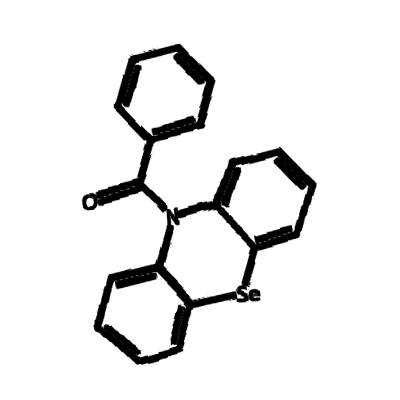 O=C(c1ccccc1)N1c2ccccc2[Se]c2ccccc21